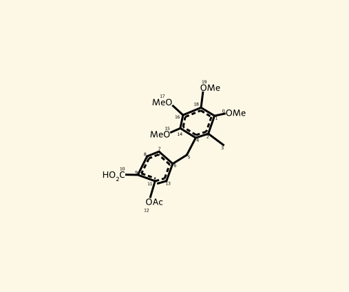 COc1c(C)c(Cc2ccc(C(=O)O)c(OC(C)=O)c2)c(OC)c(OC)c1OC